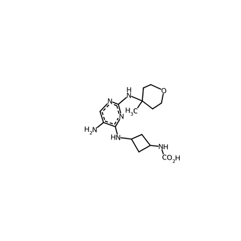 CC1(Nc2ncc(N)c(NC3CC(NC(=O)O)C3)n2)CCOCC1